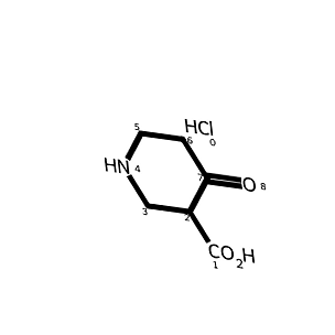 Cl.O=C(O)C1CNCCC1=O